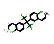 C/C=C\c1cc(C(c2ccc(Br)c(/C=C\C)c2)(C(F)(F)F)C(F)(F)F)ccc1Br